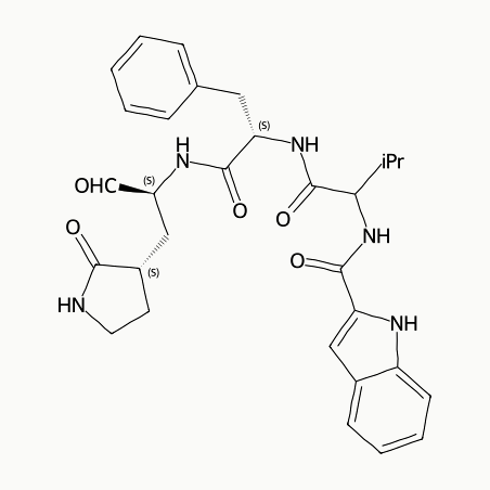 CC(C)C(NC(=O)c1cc2ccccc2[nH]1)C(=O)N[C@@H](Cc1ccccc1)C(=O)N[C@H](C=O)C[C@@H]1CCNC1=O